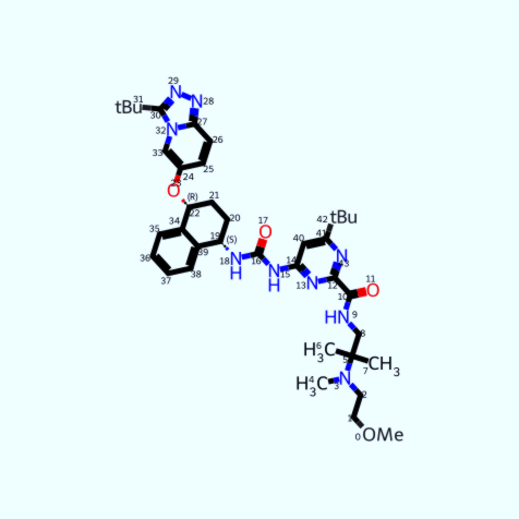 COCCN(C)C(C)(C)CNC(=O)c1nc(NC(=O)N[C@H]2CC[C@@H](Oc3ccc4nnc(C(C)(C)C)n4c3)c3ccccc32)cc(C(C)(C)C)n1